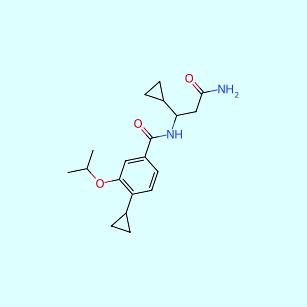 CC(C)Oc1cc(C(=O)NC(CC(N)=O)C2CC2)ccc1C1CC1